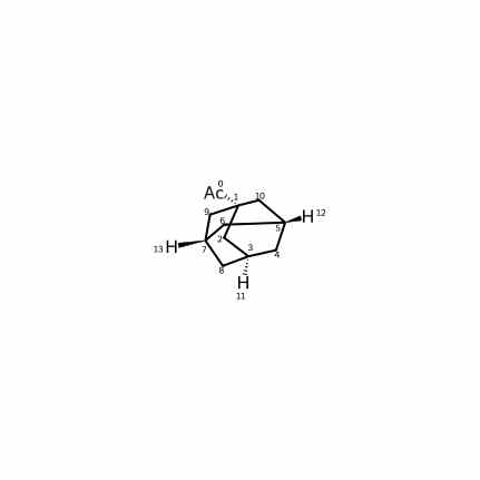 CC(=O)[C@]12C[C@H]3C[C@H](C[C@H](C3)C1)C2